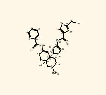 C[C@H]1C[C@H]2CSC(NC(=O)c3ccccc3)=N[C@@]2(c2nc(NC(=O)c3coc(CF)n3)cs2)CO1